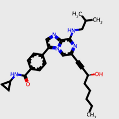 CCCCC[C@H](O)C#Cc1cn2c(-c3ccc(C(=O)NC4CC4)cc3)cnc2c(NCC(C)C)n1